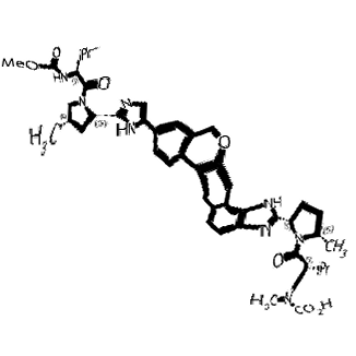 COC(=O)N[C@H](C(=O)N1C[C@@H](C)C[C@H]1c1ncc(-c2ccc3c(c2)COc2cc4c(ccc5nc([C@@H]6CC[C@H](C)N6C(=O)[C@H](C(C)C)N(C)C(=O)O)[nH]c54)cc2-3)[nH]1)C(C)C